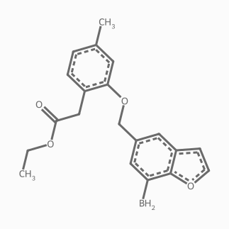 Bc1cc(COc2cc(C)ccc2CC(=O)OCC)cc2ccoc12